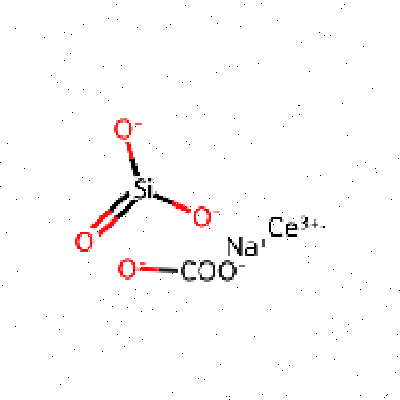 O=C([O-])[O-].O=[Si]([O-])[O-].[Ce+3].[Na+]